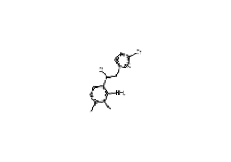 [CH2]c1ccc(C([O])Cc2ccc(CC)s2)c(N)c1C